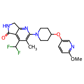 COc1ccc(OC2CCN(c3nc4c(c(C(F)F)c3C)C(=O)NC4)CC2)cn1